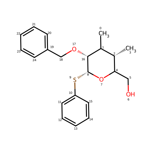 CC1[C@H](C)C(CO)O[C@H](Sc2ccccc2)[C@@H]1OCc1ccccc1